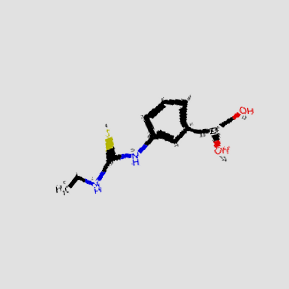 CCNC(=S)Nc1cccc(B(O)O)c1